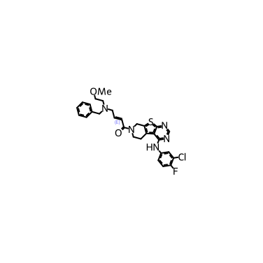 COCCN(C/C=C/C(=O)N1CCc2c(sc3ncnc(Nc4ccc(F)c(Cl)c4)c23)C1)Cc1ccccc1